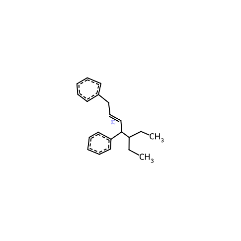 CCC(CC)C(/C=C/Cc1ccccc1)c1ccccc1